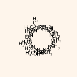 C/C=C/C[C@@H](C)[C@@H](O)[C@H]1C(=O)N[C@@H](CC)C(=O)N(C)[C@H](CCN)C(=O)N(C)[C@@H](CC(C)(C)O)C(=O)N[C@@H](C(C)C)C(=O)N(C)[C@@H](CC(C)C)C(=O)N[C@@H](C)C(=O)N[C@H](C)C(=O)N(C)[C@@H](CC(C)C)C(=O)N(C)[C@@H](CC(C)C)C(=O)N(C)[C@@H](C(C)C)C(=O)N1C